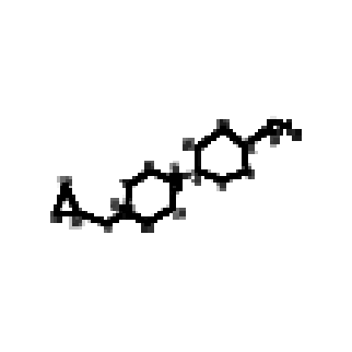 C[C@H]1CC[C@H](N2CCN(CC3CC3)CC2)CC1